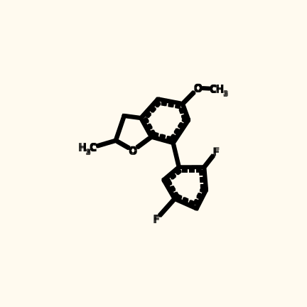 COc1cc2c(c(-c3cc(F)ccc3F)c1)OC(C)C2